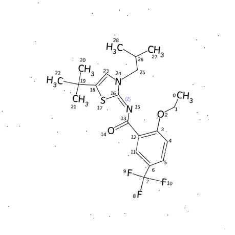 CCOc1ccc(C(F)(F)F)cc1C(=O)/N=c1\sc(C(C)(C)C)cn1CC(C)C